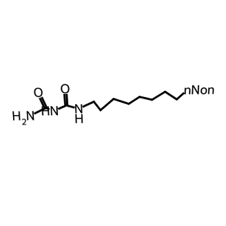 CCCCCCCCCCCCCCCCCNC(=O)NC(N)=O